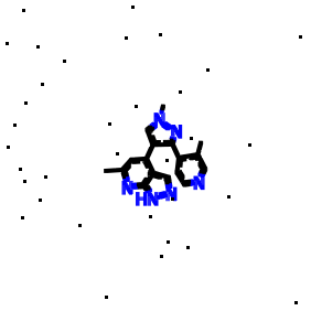 Cc1cc(-c2cn(C)nc2-c2ccncc2C)c2cn[nH]c2n1